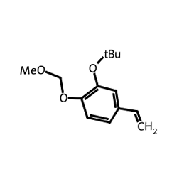 C=Cc1ccc(OCOC)c(OC(C)(C)C)c1